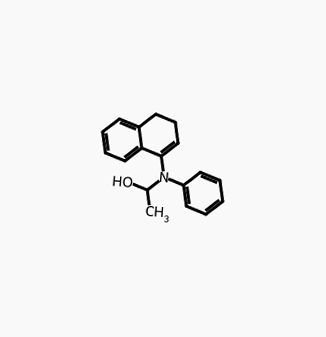 CC(O)N(C1=CCCc2ccccc21)c1ccccc1